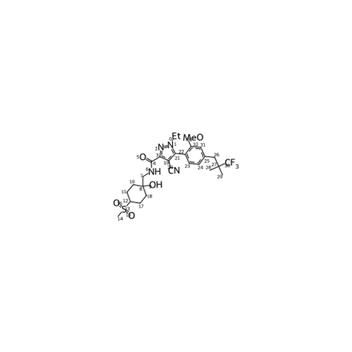 CCn1nc(C(=O)NCC2(O)CCC(S(C)(=O)=O)CC2)c(C#N)c1-c1ccc(CC(C)(C)C(F)(F)F)cc1OC